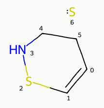 C1=CSNCC1.[S]